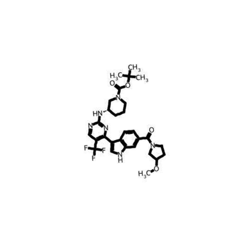 COC1CCN(C(=O)c2ccc3c(-c4nc(N[C@H]5CCCN(C(=O)OC(C)(C)C)C5)ncc4C(F)(F)F)c[nH]c3c2)C1